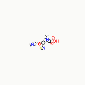 CC(C)C1Cc2cc(OCC3CCN(C(C)C)CC3)c(-c3nccs3)cc2-c2cc(=O)c(C(=O)O)cn21